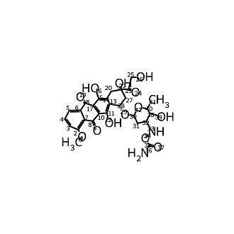 COc1cccc2c1C(=O)c1c(O)c3c(c(O)c1C2=O)C[C@@](O)(C(=O)CO)C[C@@H]3OC1CC(NOC(N)=O)C(O)C(C)O1